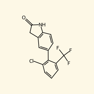 O=C1Cc2cc(-c3c(Cl)cccc3C(F)(F)F)ccc2N1